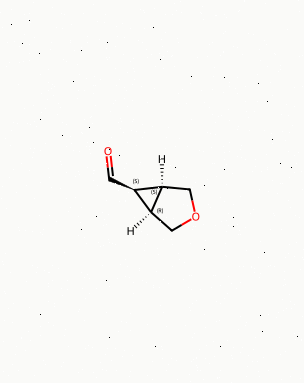 O=C[C@H]1[C@H]2COC[C@@H]12